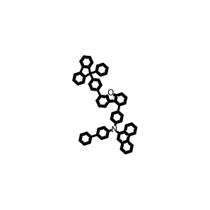 c1ccc(-c2ccc(N(c3ccc(-c4cccc5oc6c(-c7ccc(C8(c9ccccc9)c9ccccc9-c9ccccc98)cc7)cccc6c45)cc3)c3cc4ccccc4c4ccccc34)cc2)cc1